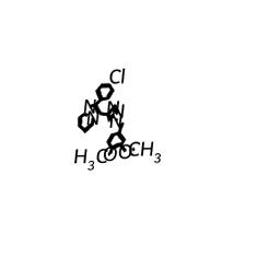 COc1ccc(Cn2cc(-c3c(-c4ccc(Cl)cc4)nc4ccccn34)nn2)cc1OC